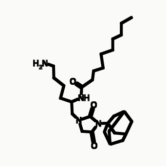 CCCCCCCCCC(=O)NC(CCCCN)CN1CC(=O)N(C23CC4CC(CC(C4)C2)C3)C1=O